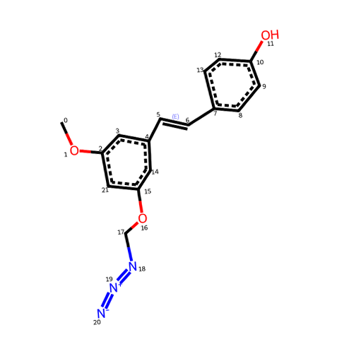 COc1cc(/C=C/c2ccc(O)cc2)cc(OCN=[N+]=[N-])c1